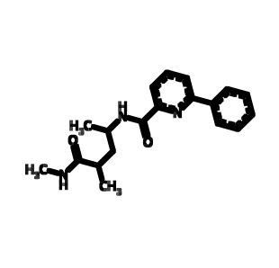 CNC(=O)C(C)CC(C)NC(=O)c1cccc(-c2ccccc2)n1